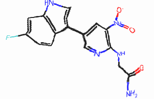 NC(=O)CNc1ncc(-c2c[nH]c3cc(F)ccc23)cc1[N+](=O)[O-]